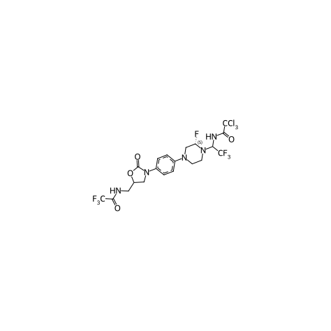 O=C1OC(CNC(=O)C(F)(F)F)CN1c1ccc(N2CCN(C(NC(=O)C(Cl)(Cl)Cl)C(F)(F)F)[C@@H](F)C2)cc1